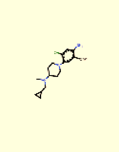 COc1cc(N2CCC(N(C)CC3CC3)CC2)c(Cl)cc1N